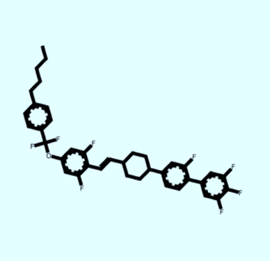 CCCCCc1ccc(C(F)(F)Oc2cc(F)c(/C=C/C3CCC(c4ccc(-c5cc(F)c(F)c(F)c5)c(F)c4)CC3)c(F)c2)cc1